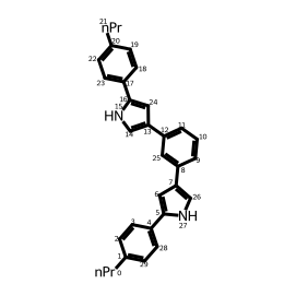 CCCc1ccc(-c2cc(-c3cccc(-c4c[nH]c(-c5ccc(CCC)cc5)c4)c3)c[nH]2)cc1